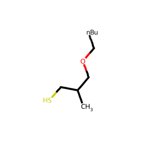 CCCCCOCC(C)CS